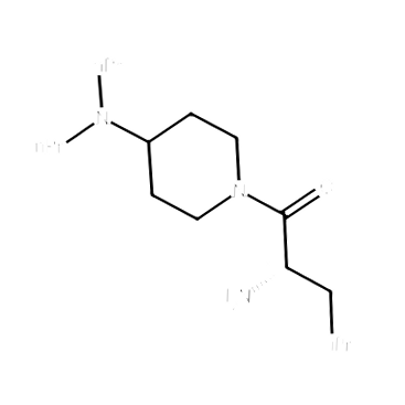 CCCN(CCC)C1CCN(C(=O)[C@@H](N)CC(C)C)CC1